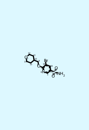 NS(=O)(=O)c1cnc(OCC2CCOCC2)c(Br)c1